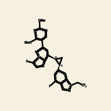 COc1ncc(-c2cc([C@H]3C[C@@H]3c3cc(F)c4cnn(CC(F)(F)F)c4c3)c3ncc(F)n3n2)c(OC)n1